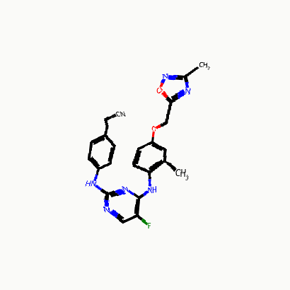 Cc1noc(COc2ccc(Nc3nc(Nc4ccc(CC#N)cc4)ncc3F)c(C)c2)n1